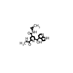 CNC(=O)c1cc(C(=O)N[C@H]2C[C@@H]2C)cc([C@H](O)c2ccnc3[nH]ccc23)n1